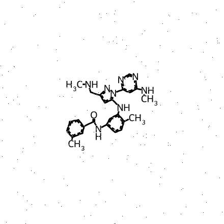 CNCc1cc(Nc2cc(NC(=O)c3cccc(C)c3)ccc2C)n(-c2cc(NC)ncn2)n1